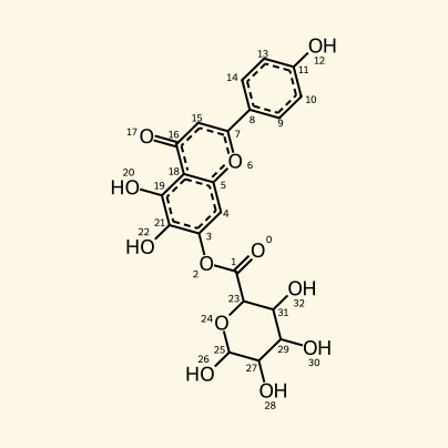 O=C(Oc1cc2oc(-c3ccc(O)cc3)cc(=O)c2c(O)c1O)C1OC(O)C(O)C(O)C1O